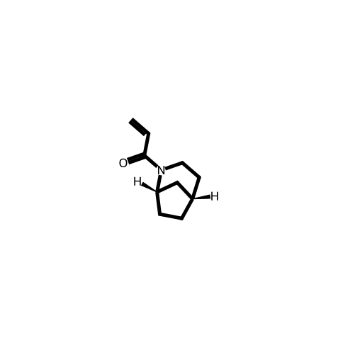 C=CC(=O)N1CC[C@@H]2CC[C@H]1C2